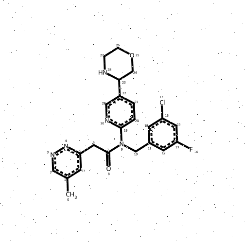 Cc1cnnc(CC(=O)N(Cc2cc(F)cc(Cl)c2)c2ccc(C3COCCN3)cn2)c1